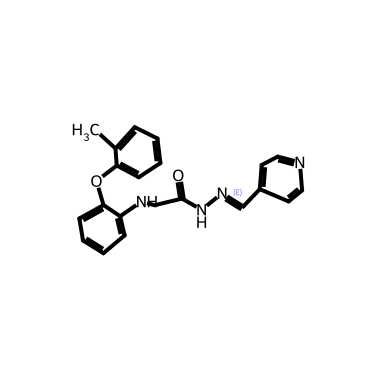 Cc1ccccc1Oc1ccccc1NCC(=O)N/N=C/c1ccncc1